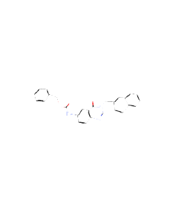 O=C(Nc1ccc2ncn(Cc3ccc4ccccc4c3)c(=O)c2c1)OCc1ccccc1